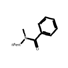 CCCCCN(C)C(=O)c1[c]cccc1